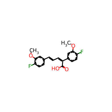 COc1cc(/C=C/C=C(C(=O)O)c2ccc(F)c(OC)c2)ccc1F